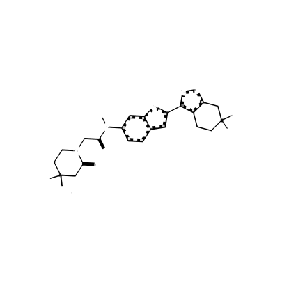 CN(C(=O)CN1CCC(C)(C)CC1=O)c1ccc2cc(-c3n[nH]c4c3CCC(C)(C)C4)[nH]c2c1